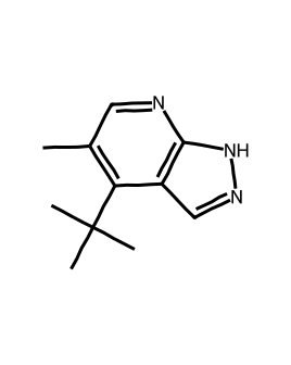 Cc1cnc2[nH]ncc2c1C(C)(C)C